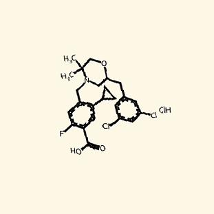 CC1(C)COC(Cc2cc(Cl)cc(Cl)c2)CN1Cc1cc(F)c(C(=O)O)cc1C1CC1.Cl